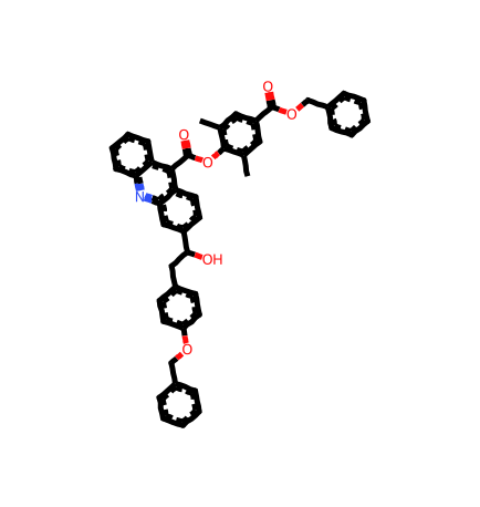 Cc1cc(C(=O)OCc2ccccc2)cc(C)c1OC(=O)c1c2ccccc2nc2cc(C(O)Cc3ccc(OCc4ccccc4)cc3)ccc12